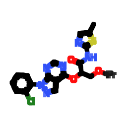 Cc1cnc(NC(=O)C(COC(C)C)Oc2ncnc3c2cnn3-c2ccccc2Cl)s1